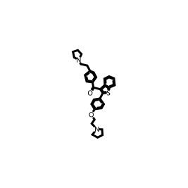 O=C(c1ccc(CCN2CCCC2)cc1)c1c(-c2ccc(OCCN3CCCC3)cc2)sc2ccccc12